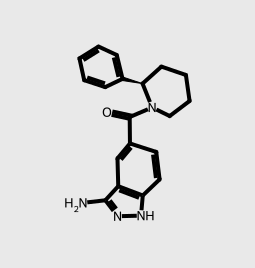 Nc1n[nH]c2ccc(C(=O)N3CCCC[C@@H]3c3ccccc3)cc12